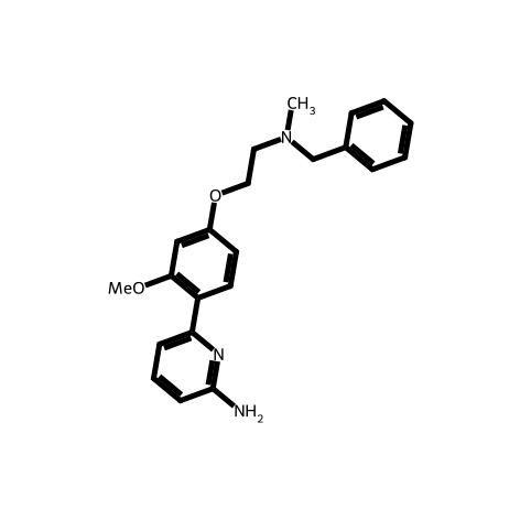 COc1cc(OCCN(C)Cc2ccccc2)ccc1-c1cccc(N)n1